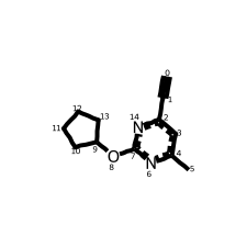 C#Cc1cc(C)nc(OC2CCCC2)n1